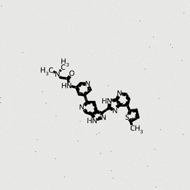 Cc1ccc(-c2ccnc3[nH]c(-c4n[nH]c5cnc(-c6cncc(NC(=O)CN(C)C)c6)cc45)nc23)s1